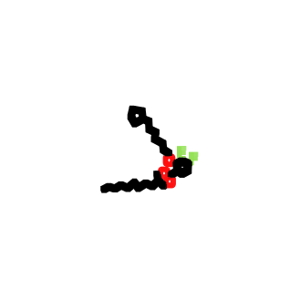 CCCCCCCCCC1COC(c2ccc(F)c(F)c2OCCCCCCCC2CCCC2)OC1